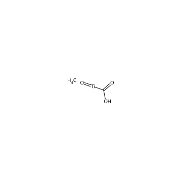 C.[O]=[Ti][C](=O)O